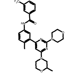 Cc1ccc(NC(=O)c2cccc(C(F)(F)F)c2)cc1-c1cc(N2CCOC(C)C2)nc(N2CCOCC2)n1